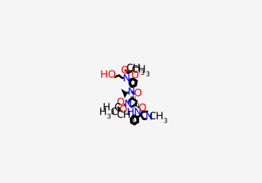 CN1CCC(NC(=O)[C@H]2C[C@@H](C(=O)N(c3ccc4c(c3)N(CCCO)C(=O)C(C)(C)O4)C3CC3)CN(C(=O)OC(C)(C)C)C2)(c2ccccc2)CC1